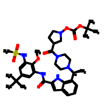 COc1c(NC(=O)c2cc3cccc([C@H](C)N4CCN(C(=O)C5CCN(OC(=O)OC(C)(C)C)C5)CC4)c3[nH]2)cc(C(C)(C)C)cc1NS(C)(=O)=O